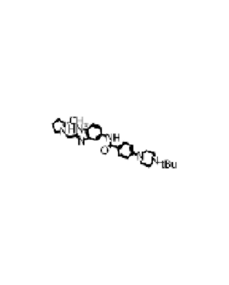 C[C@H]1CCCN1Cc1nc2cc(NC(=O)c3ccc(N4CCN(C(C)(C)C)CC4)cc3)ccc2[nH]1